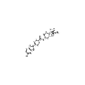 Cc1ccc2nc(-c3ccc(NC[C@H]4CC[C@H](NS(=O)(=O)C(C)(C)C)CC4)cc3)sc2c1